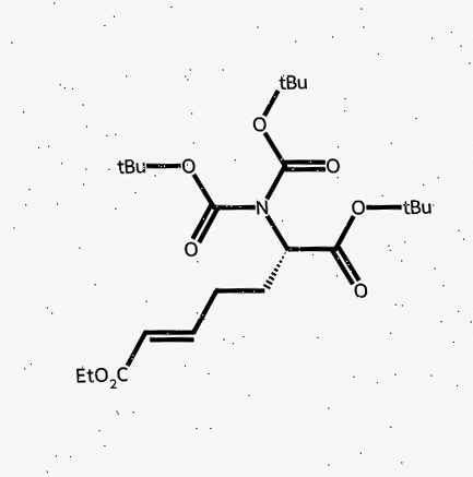 CCOC(=O)C=CCC[C@@H](C(=O)OC(C)(C)C)N(C(=O)OC(C)(C)C)C(=O)OC(C)(C)C